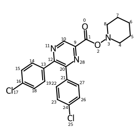 O=C(ON1CCCCC1)c1cnc(-c2ccc(Cl)cc2)c(-c2ccc(Cl)cc2)n1